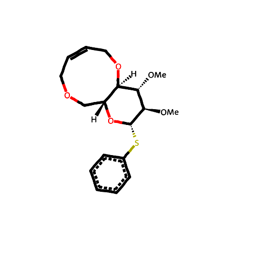 CO[C@@H]1[C@@H](OC)[C@H](Sc2ccccc2)O[C@@H]2COCC=CCO[C@@H]12